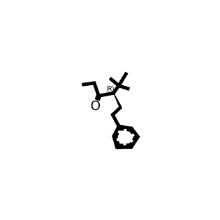 CCC(=O)[C@H](CCc1ccccc1)C(C)(C)C